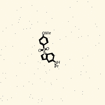 COc1ccc(S(=O)(=O)n2ccc3cc(NC(C)C)ccc32)cc1